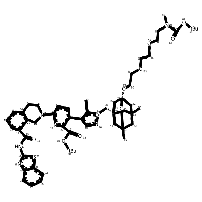 Cc1c(-c2ccc(N3CCc4cccc(C(=O)Nc5nc6ccccc6s5)c4C3)nc2C(=O)OC(C)(C)C)cnn1C[C@]12CC3(C)CC(C)(C1)C[C@](OCCOCCOCCN(C)C(=O)OC(C)(C)C)(C3)C2